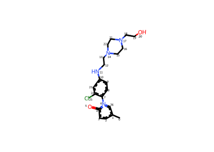 Cc1ccc(=O)n(-c2ccc(NCCN3CCN(CCO)CC3)cc2Cl)c1